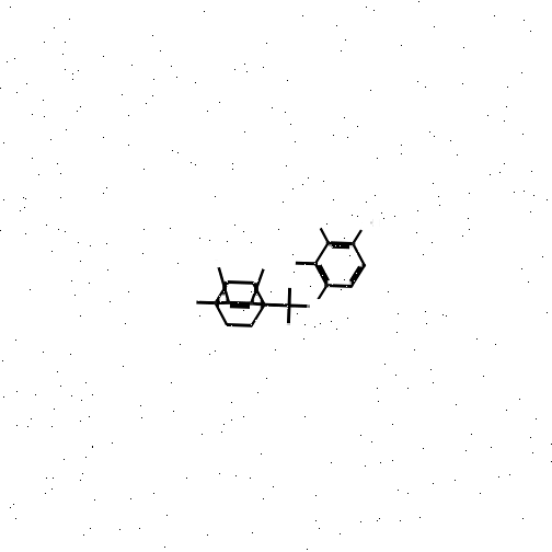 CC12CCC(C(F)(F)Oc3ccc(O)c(F)c3F)(CC1)C(F)=C2F